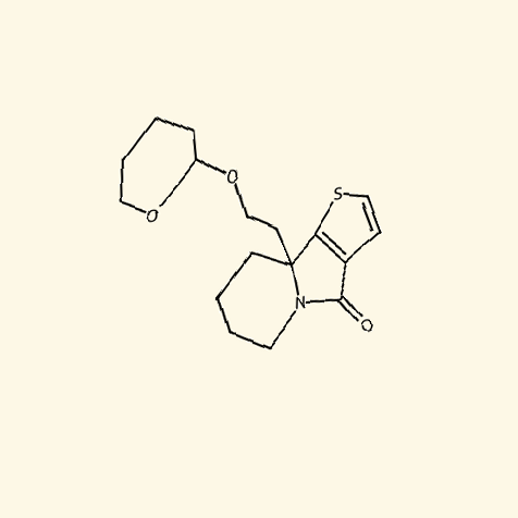 O=C1c2ccsc2C2(CCOC3CCCCO3)CCCCN12